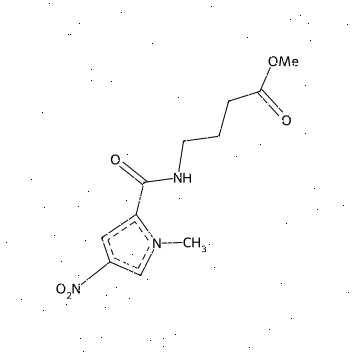 COC(=O)CCCNC(=O)c1cc([N+](=O)[O-])cn1C